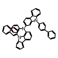 c1ccc(-c2ccc(-n3c4ccccc4c4ccc(N(c5ccccc5)c5cccc6c7ccccc7n(-c7ccc8ccccc8c7)c56)cc43)cc2)cc1